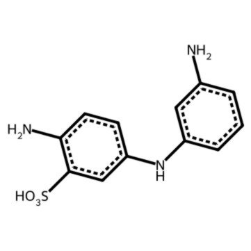 Nc1cccc(Nc2ccc(N)c(S(=O)(=O)O)c2)c1